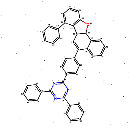 C1=C(c2ccc(-c3nc(-c4ccccc4)nc(-c4ccccc4)n3)cc2)c2ccccc2C2Oc3cccc(-c4ccccc4)c3C12